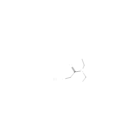 CC(C)CN(CC(C)C)C(=O)CC(=O)O